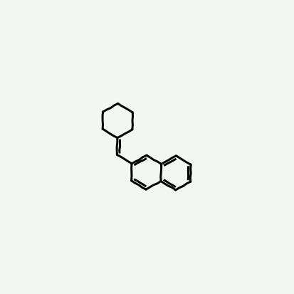 C(=C1CCCCC1)c1ccc2ccccc2c1